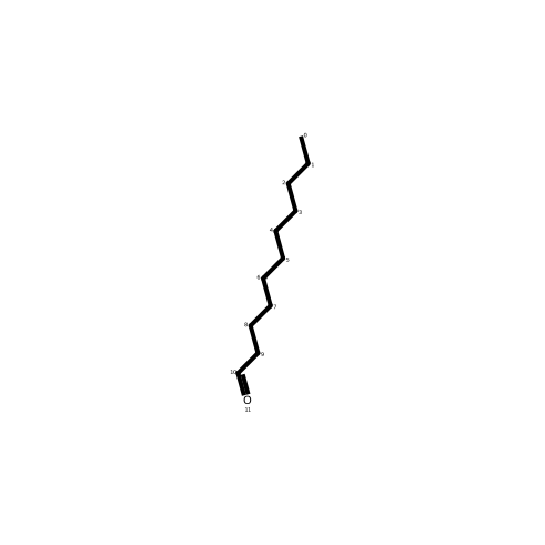 CCCCCC[CH]CCCC=O